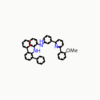 COc1ccccc1-c1cccc(-c2cccc(Nc3ccccc3Nc3c(-c4ccccc4)cccc3-c3ccccc3)c2)n1